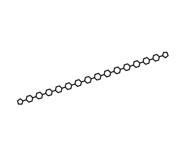 C1CCC(C2CCC(C3CCC(C4CCC(C5CCC(C6CCC(C7CCC(C8CCC(C9CCC(C%10CCC(C%11CCC(C%12CCC(C%13CCC(C%14CCC(C%15CCC(C%16CCCC%16)CC%15)CC%14)CC%13)CC%12)CC%11)CC%10)CC9)CC8)CC7)CC6)CC5)CC4)CC3)CC2)C1